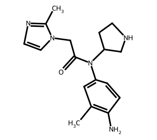 Cc1cc(N(C(=O)Cn2ccnc2C)C2CCNC2)ccc1N